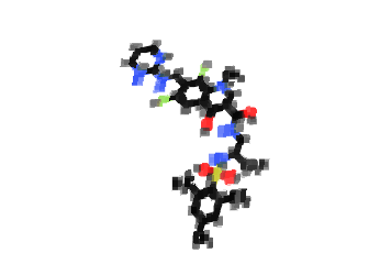 Cc1cc(C)c(S(=O)(=O)NC(CNC(=O)c2cn(C)c3c(F)c(CNC4N=CCCN4)c(F)cc3c2=O)C(=O)O)c(C)c1